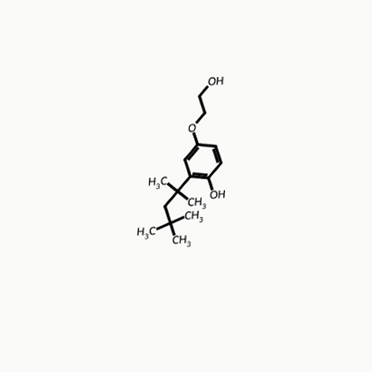 CC(C)(C)CC(C)(C)c1cc(OCCO)ccc1O